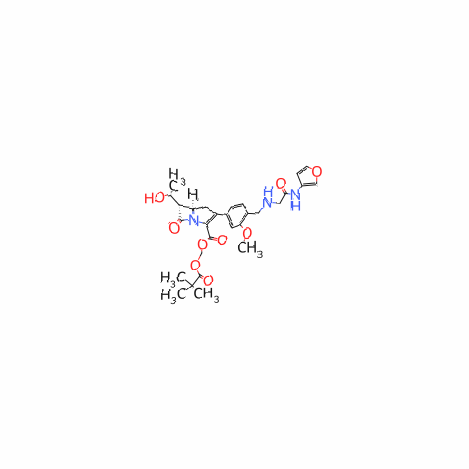 COc1cc(C2=C(C(=O)OCOC(=O)C(C)(C)C)N3C(=O)[C@H]([C@@H](C)O)[C@H]3C2)ccc1CNCC(=O)Nc1ccoc1